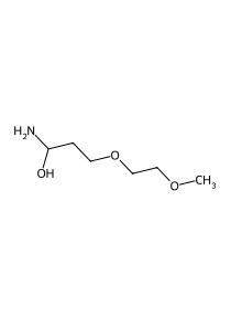 COCCOCCC(N)O